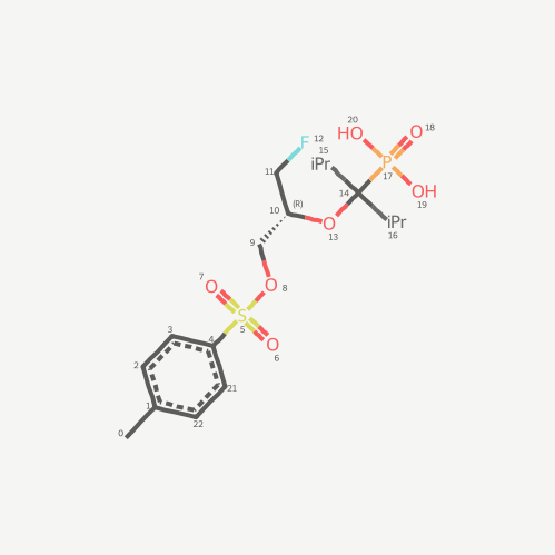 Cc1ccc(S(=O)(=O)OC[C@H](CF)OC(C(C)C)(C(C)C)P(=O)(O)O)cc1